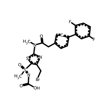 CN(C(=O)Cc1ccc(-c2cc(F)ccc2F)cc1)c1nc(CBr)c(S(C)(=O)=NC(=O)O)s1